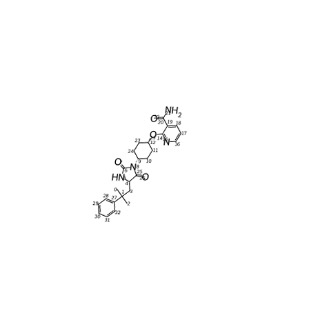 CC(C)(CC1NC(=O)N([C@H]2CC[C@H](Oc3ncccc3C(N)=O)CC2)C1=O)c1ccccc1